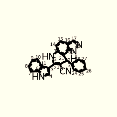 N#CC1=C(c2c[nH]c3ccccc23)Nc2ccc3cn[nH]c3c2C1c1ccccc1